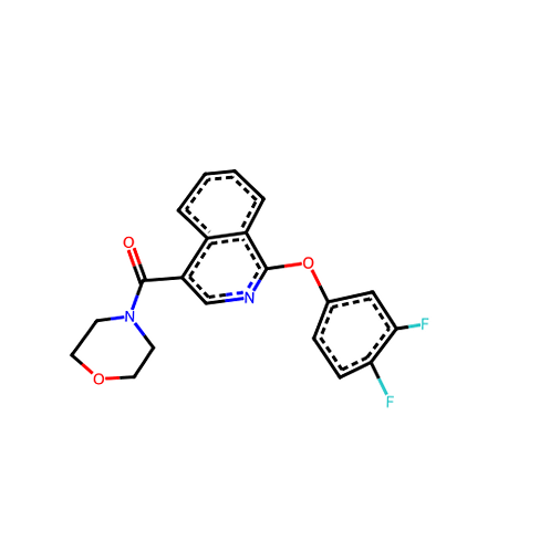 O=C(c1cnc(Oc2ccc(F)c(F)c2)c2ccccc12)N1CCOCC1